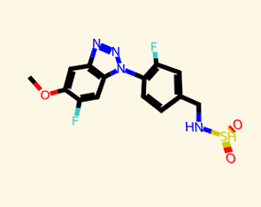 COc1cc2nnn(-c3ccc(CN[SH](=O)=O)cc3F)c2cc1F